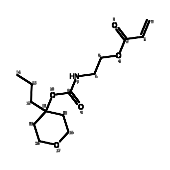 C=CC(=O)OCCNC(=O)OC1(CCC)CCOCC1